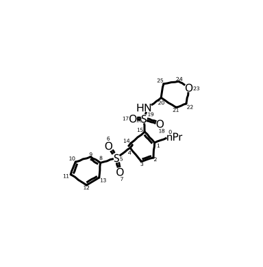 CCCc1ccc(S(=O)(=O)c2ccccc2)cc1S(=O)(=O)NC1CCOCC1